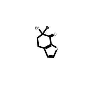 O=C1c2sccc2CCC1(Br)Br